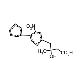 CC(O)(CC(=O)O)Cc1ccc(-c2ccccc2)c([N+](=O)[O-])c1